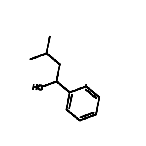 CC(C)CC(O)c1[c]cccc1